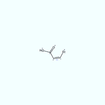 CC/C=C\C(=O)O